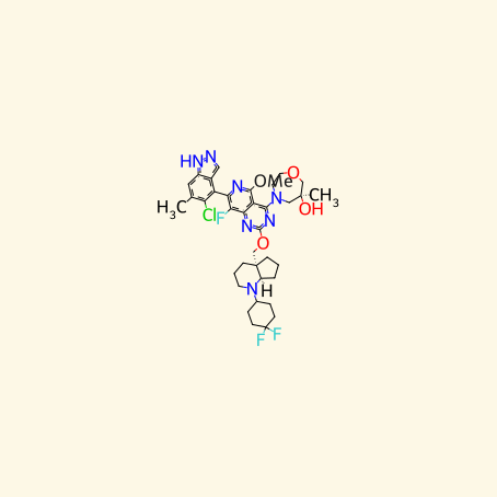 COc1nc(-c2c(Cl)c(C)cc3[nH]ncc23)c(F)c2nc(OC[C@]34CCC[C@H]3N(C3CCC(F)(F)CC3)CCC4)nc(N3CCOC[C@@](C)(O)C3)c12